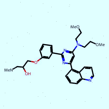 CNCC(O)COc1cccc(-c2nc(-c3cccc4ncccc34)cc(N(CCOC)CCOC)n2)c1